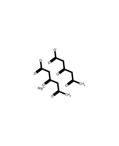 CC(=O)CC(=O)CC(=O)[O-].CC(=O)CC(=O)CC(=O)[O-].[Mg+2]